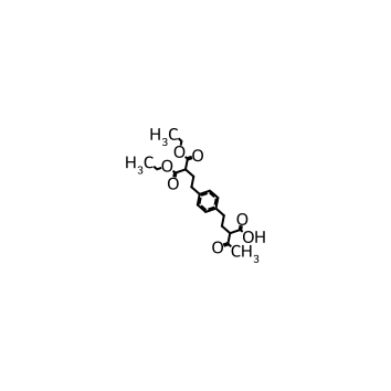 CCOC(=O)C(CCc1ccc(CCC(C(C)=O)C(=O)O)cc1)C(=O)OCC